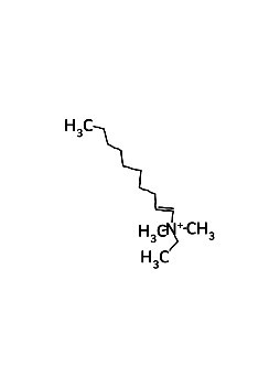 CCCCCCCCC=C[N+](C)(C)CC